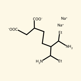 CCC(N)C(CCC(CC(=O)[O-])C(=O)[O-])C(N)CC.[Na+].[Na+]